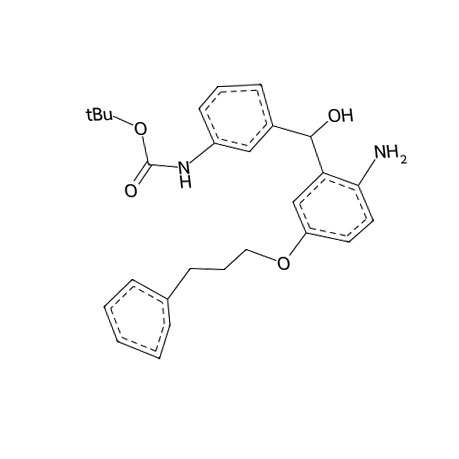 CC(C)(C)OC(=O)Nc1cccc(C(O)c2cc(OCCCc3ccccc3)ccc2N)c1